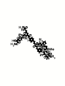 CCC(C)C(C(CC(=O)N1CCC[C@H]1C(OC)C(C)C(=O)N[C@@H](Cc1ccccc1)C(=O)NCCc1ccc(NC(=O)C(CCCNC(N)=O)NC(=O)[C@H](NC(=O)C[C@@H]2O[C@H](CN)C(O)C2O)C(C)C)cc1)OC)N(C)C(=O)[C@@H](NC(=O)C(C(C)C)N(C)C)C(C)C